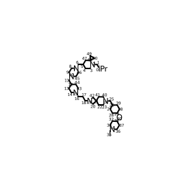 CC(C)CN1CCC(CN2CCN(CC3CCN(CCCN4CC5(CCN(CC6CCC(OC7CCN(I)CC7)CC6)CC5)C4)CC3)CC2)CC12CC2